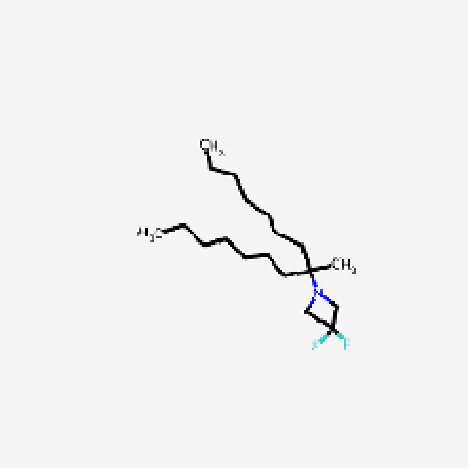 CCCCCCCC(C)(CCCCCCC)N1CC(F)(F)C1